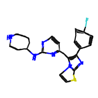 Fc1ccc(-c2nc3sccn3c2-c2ccnc(NC3CCNCC3)n2)cc1